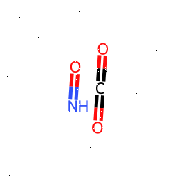 N=O.O=C=O